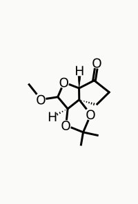 COC1O[C@@H]2C(=O)CC[C@@]23OC(C)(C)O[C@@H]13